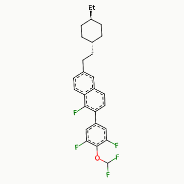 CC[C@H]1CC[C@H](CCc2ccc3c(F)c(-c4cc(F)c(OC(F)F)c(F)c4)ccc3c2)CC1